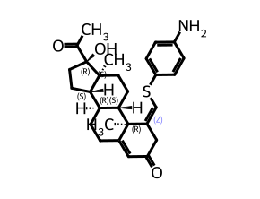 CC(=O)[C@@]1(O)CC[C@H]2[C@@H]3CCC4=CC(=O)C/C(=C/Sc5ccc(N)cc5)[C@]4(C)[C@H]3CC[C@@]21C